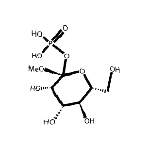 CO[C@@]1(OP(=O)(O)O)O[C@H](CO)[C@@H](O)[C@H](O)[C@@H]1O